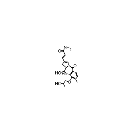 Cc1ccc2c(c1OCC(C)C#N)NC(O)C1CC(C=CC(N)=O)=CN1C2=O